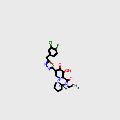 CCN1C(=O)c2c(O)c(=O)c(-c3nnc(Cc4ccc(F)c(Cl)c4)s3)cn2N2CCCC[C@H]12